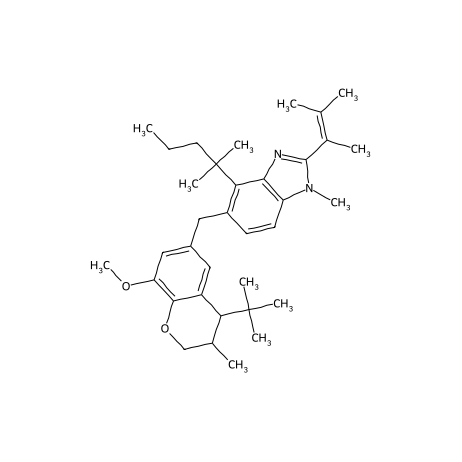 CCCC(C)(C)c1c(Cc2cc(OC)c3c(c2)C(C(C)(C)C)C(C)CO3)ccc2c1nc(C(C)=C(C)C)n2C